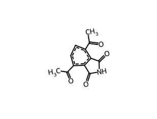 CC(=O)c1ccc(C(C)=O)c2c1C(=O)NC2=O